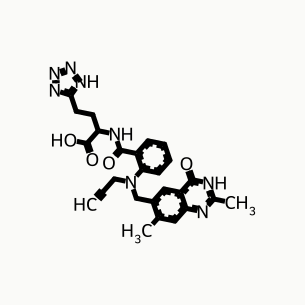 C#CCN(Cc1cc2c(=O)[nH]c(C)nc2cc1C)c1ccccc1C(=O)NC(CCc1nnn[nH]1)C(=O)O